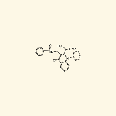 C=C(OC)c1c(CNC(=O)c2ccccc2)c(=O)c2ccccc2n1-c1ccccc1